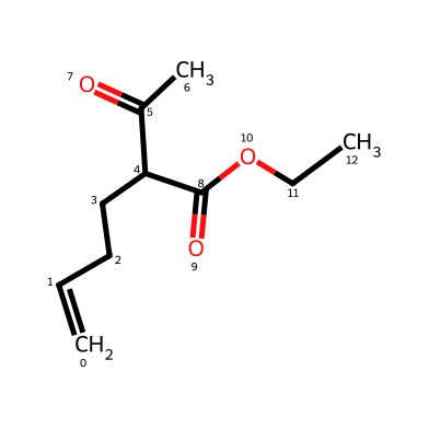 C=CCCC(C(C)=O)C(=O)OCC